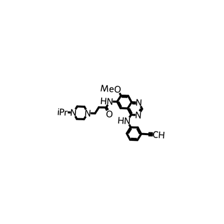 C#Cc1cccc(Nc2ncnc3cc(OC)c(NC(=O)CCN4CCN(C(C)C)CC4)cc23)c1